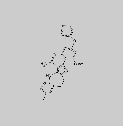 COc1cc(Oc2ccccc2)ccc1-c1nn2c(c1C(N)=O)Nc1ccc(C)cc1CC2